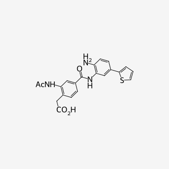 CC(=O)Nc1cc(C(=O)Nc2cc(-c3cccs3)ccc2N)ccc1CC(=O)O